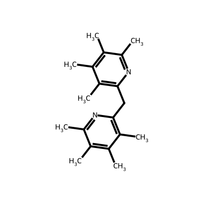 Cc1nc(Cc2nc(C)c(C)c(C)c2C)c(C)c(C)c1C